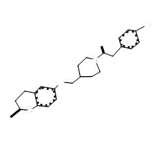 C=C1CCc2cc(OCC3CCN(C(=O)Cc4ccc(Cl)cc4)CC3)ccc2N1